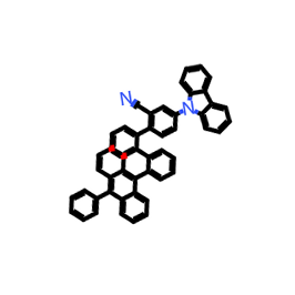 N#Cc1cc(-n2c3ccccc3c3ccccc32)ccc1-c1ccccc1-c1ccccc1-c1c2ccccc2c(-c2ccccc2)c2ccccc12